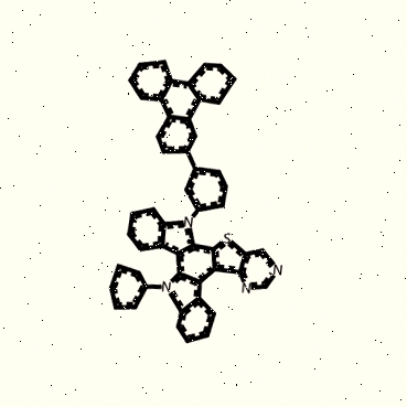 c1ccc(-n2c3ccccc3c3c4c5ncncc5sc4c4c(c5ccccc5n4-c4cccc(-c5ccc6c7ccccc7c7ccccc7c6c5)c4)c32)cc1